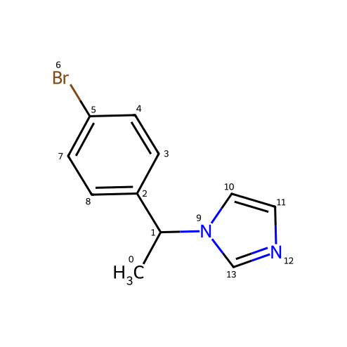 CC(c1ccc(Br)cc1)n1ccnc1